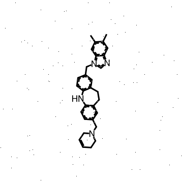 Cc1cc2ncn(Cc3ccc4c(c3)CCc3cc(CN5CC=CCC5)ccc3N4)c2cc1C